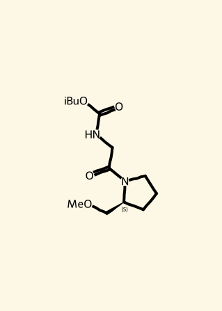 COC[C@@H]1CCCN1C(=O)CNC(=O)OCC(C)C